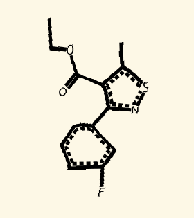 CCOC(=O)c1c(-c2cccc(F)c2)nsc1C